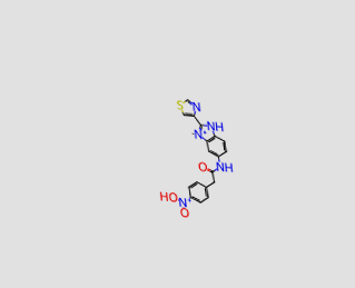 O=C(Cc1ccc([N+](=O)O)cc1)Nc1ccc2c(c1)[N+]=C(c1cscn1)N2